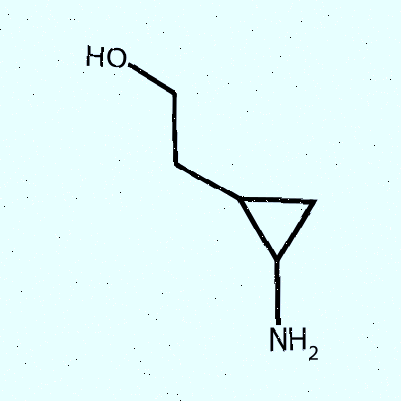 NC1CC1CCO